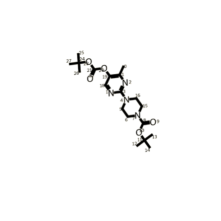 Cc1nc(N2CCN(C(=O)OC(C)(C)C)CC2)ncc1OC(=O)OC(C)(C)C